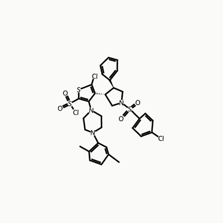 Cc1ccc(C)c(N2CCN(c3c(S(=O)(=O)Cl)sc(Cl)c3[C@H]3CN(S(=O)(=O)c4ccc(Cl)cc4)C[C@@H]3c3ccccc3)CC2)c1